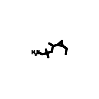 CCC1CC1C(C)CC(C)(C)CN